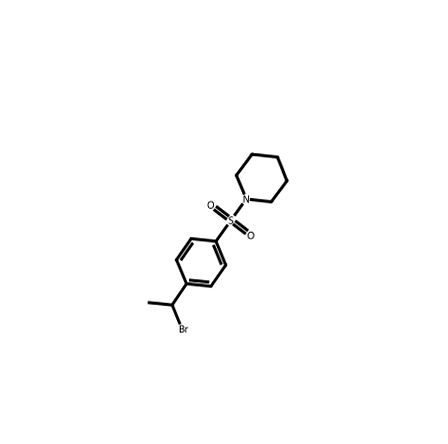 CC(Br)c1ccc(S(=O)(=O)N2CCCCC2)cc1